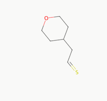 S=CCC1CCOCC1